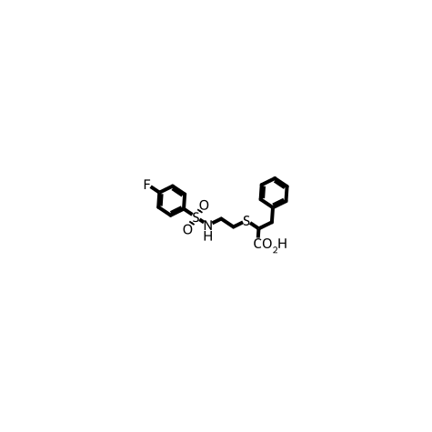 O=C(O)C(Cc1ccccc1)SCCNS(=O)(=O)c1ccc(F)cc1